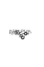 CCC(C)[C@H](NC(=O)OC(C)(C)C)c1nc2cccnc2n1Cc1ccc(F)c(C)c1